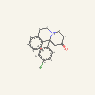 O=C1CCN2CCc3ccccc3C2(c2ccc(F)cc2)C1